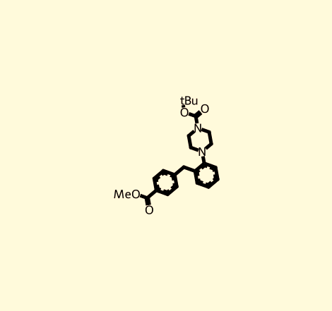 COC(=O)c1ccc(Cc2ccccc2N2CCN(C(=O)OC(C)(C)C)CC2)cc1